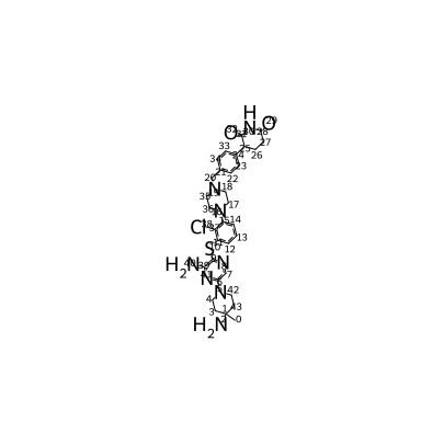 CC1(N)CCN(c2cnc(Sc3cccc(N4CCN(Cc5ccc(C6CCC(=O)NC6=O)cc5)CC4)c3Cl)c(N)n2)CC1